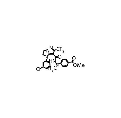 COC(=O)c1ccc([C@H](C)NC(=O)c2c(C(F)(F)F)nn3c2N(c2cccc(Cl)c2)CC3)cc1